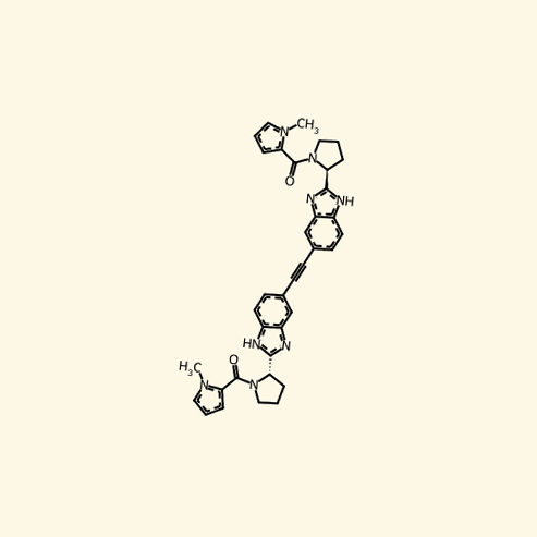 Cn1cccc1C(=O)N1CCC[C@H]1c1nc2cc(C#Cc3ccc4[nH]c([C@@H]5CCCN5C(=O)c5cccn5C)nc4c3)ccc2[nH]1